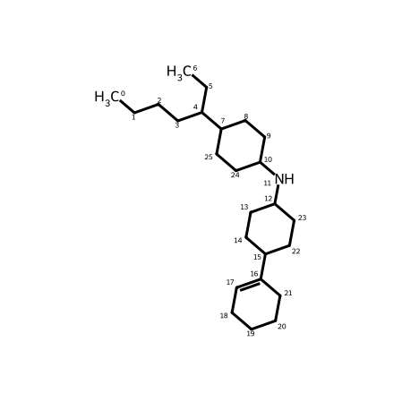 CCCCC(CC)C1CCC(NC2CCC(C3=CCCCC3)CC2)CC1